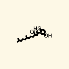 CC(C)=CCC/C(C)=C/CCC1=CC(c2cc(O)ccc2O)OC1=O